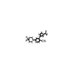 N#Cc1cnc(N2CCC(F)(F)CC2)cc1-c1ccn(C(F)F)n1